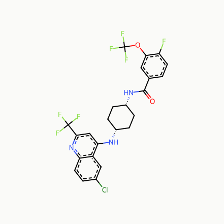 O=C(N[C@H]1CC[C@@H](Nc2cc(C(F)(F)F)nc3ccc(Cl)cc23)CC1)c1ccc(F)c(OC(F)(F)F)c1